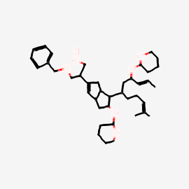 CC=CC(CC(CCC=C(C)C)C1C(OC2CCCCO2)CC2C=C(C(CO)COCc3ccccc3)CC21)OC1CCCCO1